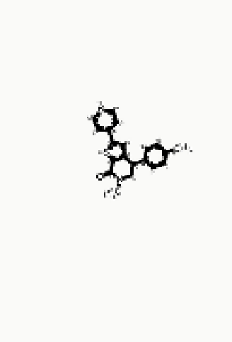 Cc1ccc(C2CN(C)C(=O)c3sc(-c4ccncc4)cc32)cc1